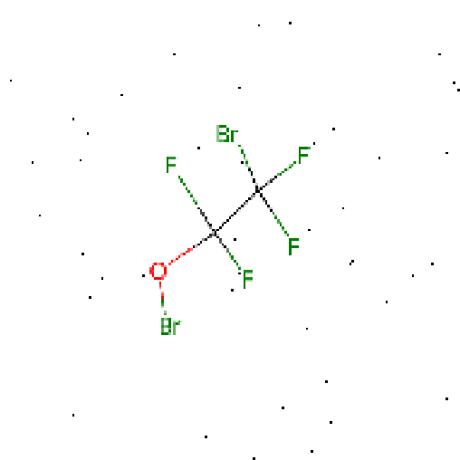 FC(F)(Br)C(F)(F)OBr